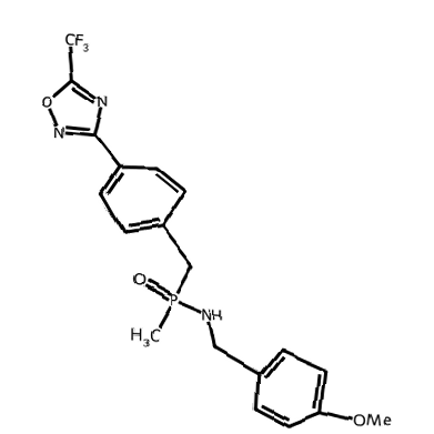 COc1ccc(CNP(C)(=O)Cc2ccc(-c3noc(C(F)(F)F)n3)cc2)cc1